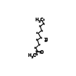 CCCCCCCCCC(C)=O.[Ti]